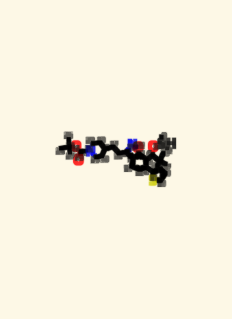 C[SiH](C)OC(c1c(-c2cccs2)ccc2c(CCC3CCN(C(=O)OC(C)(C)C)CC3)noc12)C(C)(C)C